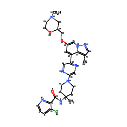 CC1(NC(=O)c2ncccc2Cl)CCN(c2cnc(-c3cc(OCC4CN(C(=O)O)CCO4)cn4ncc(C#N)c34)cn2)CC1